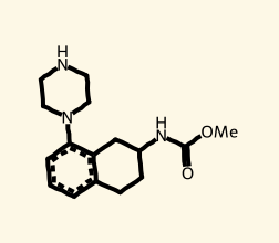 COC(=O)NC1CCc2cccc(N3CCNCC3)c2C1